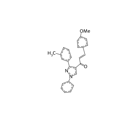 COc1ccc(C=CC(=O)c2cn(-c3ccccc3)nc2-c2cccc(C)c2)cc1